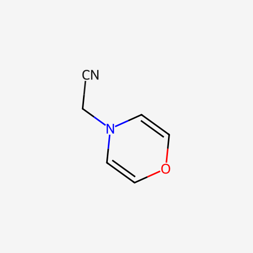 N#CCN1C=COC=C1